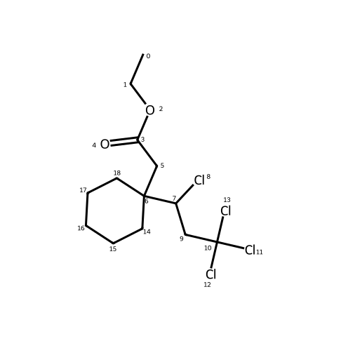 CCOC(=O)CC1(C(Cl)CC(Cl)(Cl)Cl)CCCCC1